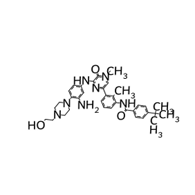 Cc1c(NC(=O)c2ccc(C(C)(C)C)cc2)cccc1-c1cn(C)c(=O)c(Nc2ccc(N3CCN(CCO)CC3)c(N)c2)n1